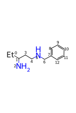 [CH2]CC(N)CCNCc1ccccc1